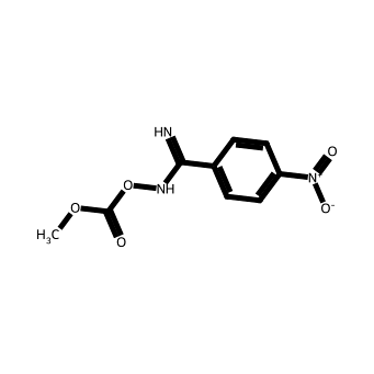 COC(=O)ONC(=N)c1ccc([N+](=O)[O-])cc1